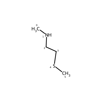 CNCCSC